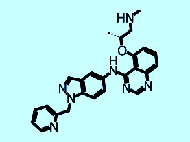 CNC[C@@H](C)Oc1cccc2ncnc(Nc3ccc4c(cnn4Cc4ccccn4)c3)c12